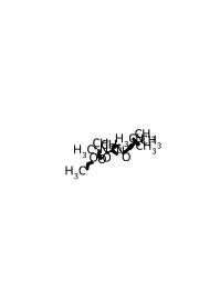 CCCCOC(=O)[C@H](C(C)C)N(C)C(=O)[C@H]1CCN(C(=O)C#CC(C)(C)N(C)C)C1